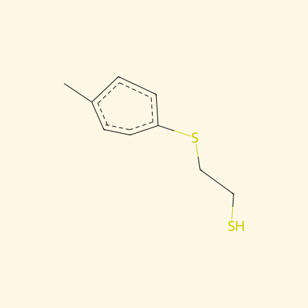 Cc1ccc(SCCS)cc1